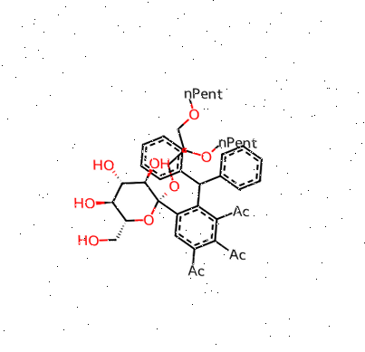 CCCCCOCC(CO[C@]1(c2cc(C(C)=O)c(C(C)=O)c(C(C)=O)c2C(c2ccccc2)c2ccccc2)O[C@H](CO)[C@@H](O)[C@H](O)[C@H]1O)OCCCCC